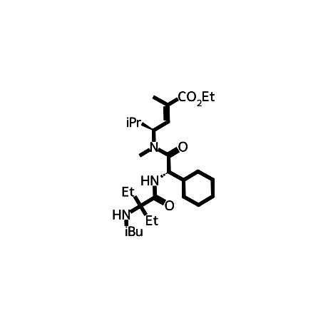 CCOC(=O)/C(C)=C/[C@H](C(C)C)N(C)C(=O)[C@@H](NC(=O)C(CC)(CC)NC(C)CC)C1CCCCC1